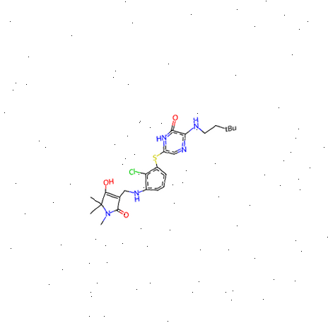 CN1C(=O)C(CNc2cccc(Sc3cnc(NCCC(C)(C)C)c(=O)[nH]3)c2Cl)=C(O)C1(C)C